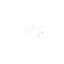 Cc1ccc(C(=O)N(C)Cc2ccccn2)cc1